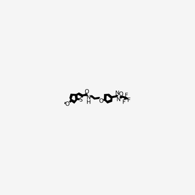 COc1ccc2cc(C(=O)NCCCOc3ccc(-c4noc(C(F)(F)F)n4)cc3)sc2c1